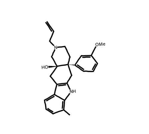 C=CCN1CC[C@@]2(c3cccc(OC)c3)Cc3[nH]c4c(C)cccc4c3C[C@]2(O)C1